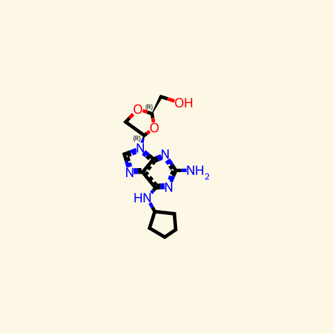 Nc1nc(NC2CCCC2)c2ncn([C@H]3CO[C@@H](CO)O3)c2n1